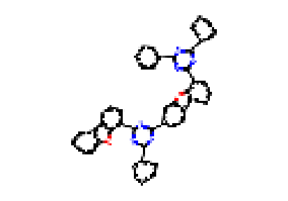 c1ccc(-c2nc(-c3ccc4c(c3)oc3c(-c5nc(-c6ccccc6)nc(-c6ccccc6)n5)cccc34)nc(-c3cccc4c3oc3ccccc34)n2)cc1